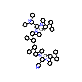 N#Cc1c(-n2c3ccccc3c3c(-c4ccccc4-c4ccccc4)cccc32)cc(-c2ccncc2)cc1-n1c2ccccc2c2c(-c3ccc(-c4ccc(-c5cccc6c5c5ccccc5n6-c5cc(-c6cc(-c7ccccc7)nc(-c7ccccc7)c6)cc(-n6c7ccccc7c7c(-c8ccccc8-c8ccccc8)cccc76)c5C#N)c(-c5ccccc5)c4)cc3-c3ccccc3)cccc21